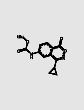 CC(C)(C)OC(=O)Nc1ccc2c(=O)onc(C3CC3)c2c1